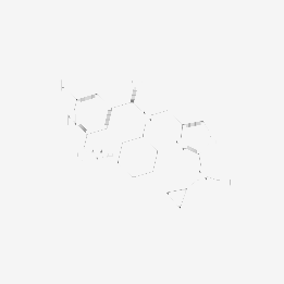 CCN(c1nc(CN(C(=O)c2cc(Cl)nc(OC)c2)C2CCCCC2)cs1)C1CC1